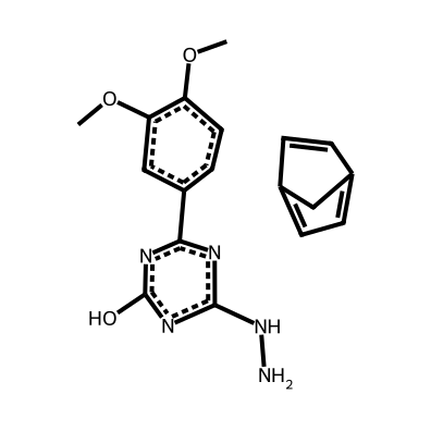 C1=CC2=CC=C1C2.COc1ccc(-c2nc(O)nc(NN)n2)cc1OC